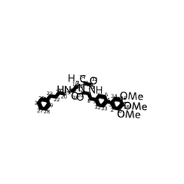 COc1cc(-c2ccc(CC3NC(=O)[C@@H](C)N(CC(=O)NCCCCc4ccccc4)C3=O)cc2)cc(OC)c1OC